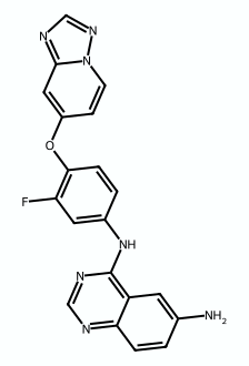 Nc1ccc2ncnc(Nc3ccc(Oc4ccn5ncnc5c4)c(F)c3)c2c1